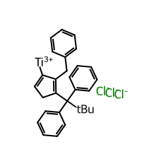 CC(C)(C)C(C1=C(Cc2ccccc2)[C]([Ti+3])=CC1)(c1ccccc1)c1ccccc1.[Cl-].[Cl-].[Cl-]